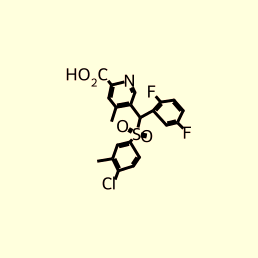 Cc1cc(S(=O)(=O)C(c2cnc(C(=O)O)cc2C)c2cc(F)ccc2F)ccc1Cl